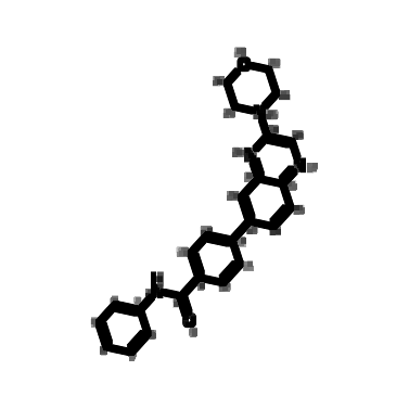 O=C(Nc1ccccc1)c1ccc(-c2ccc3ncc(N4CCOCC4)nc3c2)cc1